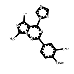 CCc1nc(C)n2nc(-c3ccc(OC)c(OC)c3)nc(-n3cncn3)c12